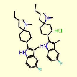 CCCCC1(N(C)C)CCC(c2[nH]c3ccc(F)cc3c2C)CC1.CCCCC1(N(C)C)CCC(c2[nH]c3ccc(F)cc3c2C)CC1.Cl